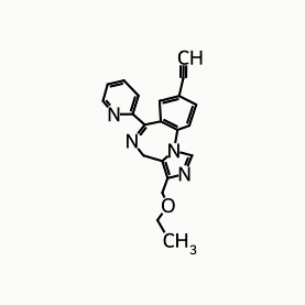 C#Cc1ccc2c(c1)C(c1ccccn1)=NCc1c(COCC)ncn1-2